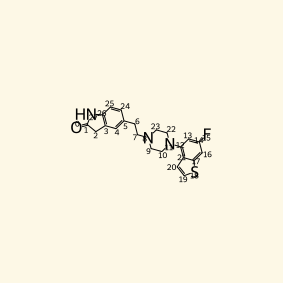 O=C1Cc2cc(CCN3CCN(c4cc(F)cc5sccc45)CC3)ccc2N1